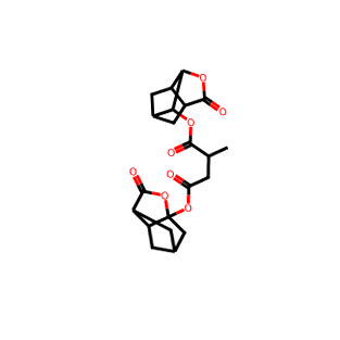 CC(CC(=O)OC12CC3CC(C(=O)O1)C2C3)C(=O)OC1C2CC3C(=O)OC1C3C2